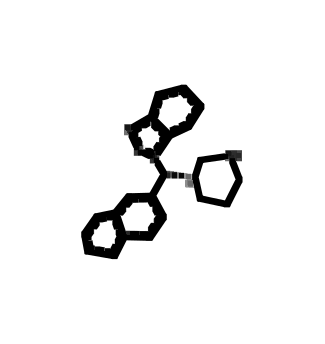 c1ccc2cc(C([C@H]3CCCNC3)n3nnc4ccccc43)ccc2c1